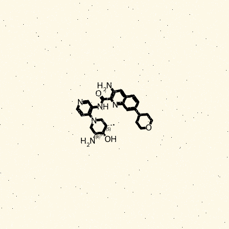 C[C@H]1CN(c2ccncc2NC(=O)c2nc3cc(C4CCOCC4)ccc3cc2N)C[C@@H](N)[C@@H]1O